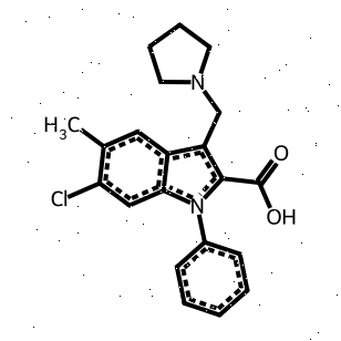 Cc1cc2c(CN3CCCC3)c(C(=O)O)n(-c3ccccc3)c2cc1Cl